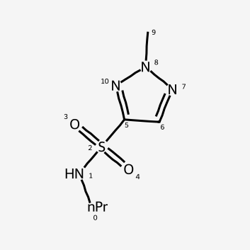 CCCNS(=O)(=O)c1cnn(C)n1